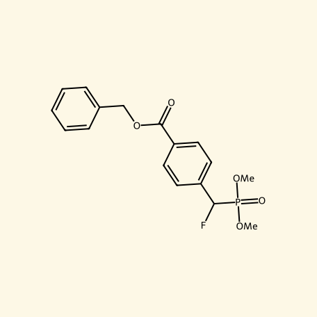 COP(=O)(OC)C(F)c1ccc(C(=O)OCc2ccccc2)cc1